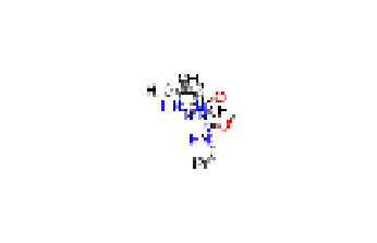 CC(C)CNC(=O)N1C(=O)C2N(C)N1NC2(C)C